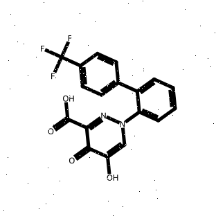 O=C(O)c1nn(-c2ccccc2-c2ccc(C(F)(F)F)cc2)cc(O)c1=O